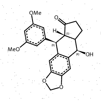 COc1cc(OC)cc([C@@H]2c3cc4c(cc3[C@H](O)C3CCC(=O)[C@H]32)OCO4)c1